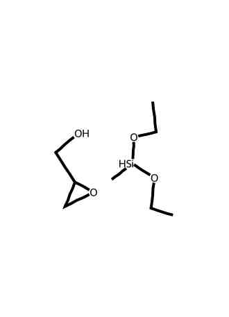 CCO[SiH](C)OCC.OCC1CO1